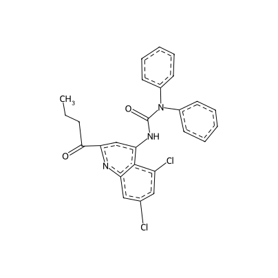 CCCC(=O)c1cc(NC(=O)N(c2ccccc2)c2ccccc2)c2c(Cl)cc(Cl)cc2n1